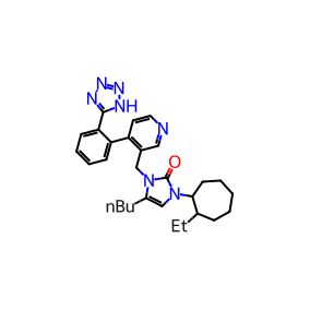 CCCCc1cn(C2CCCCCC2CC)c(=O)n1Cc1cnccc1-c1ccccc1-c1nnn[nH]1